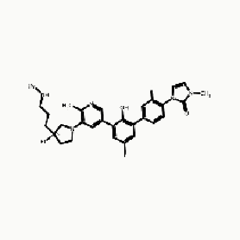 CC[C@]1(CCCNC(C)C)CCN(c2cc(-c3cc(F)cc(-c4ccc(-n5ccn(C)c5=O)c(Cl)c4)c3O)cnc2C)C1